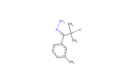 Cc1cccc(C(=NN)C(C)(C)Cl)c1